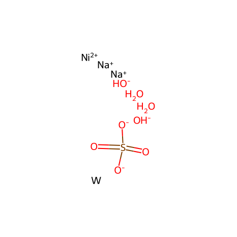 O.O.O=S(=O)([O-])[O-].[Na+].[Na+].[Ni+2].[OH-].[OH-].[W]